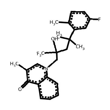 Cc1ccc(F)cc1C(C)(C)CC(O)(Cn1cc(C)c(=O)c2ccccc21)C(F)(F)F